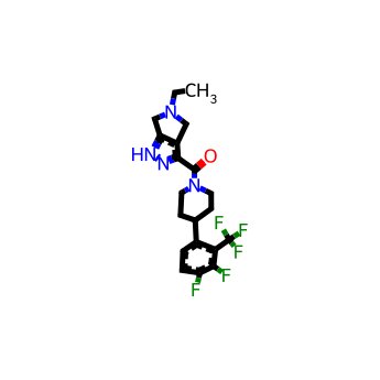 CCN1Cc2[nH]nc(C(=O)N3CCC(c4ccc(F)c(F)c4C(F)(F)F)CC3)c2C1